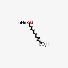 CCCCCCC(=O)CC=CCCCCCCCC(=O)O